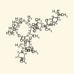 CC[C@H]1OC(=O)[C@H](C)[C@@H](O[C@H]2C[C@@](C)(OC)[C@](O)(CN3CCN(C)CC3)[C@H](C)O2)[C@H](C)[C@@H](O[C@H]2[CH][C@H](N(C)C(=O)Nc3ccc(N(C)C)cc3)C[C@@H](C)O2)[C@](C)(O)C[C@@H](C)CN[C@H](C)[C@@H](O)[C@]1(C)O